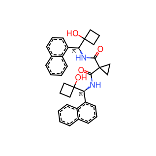 O=C(N[C@@H](c1cccc2ccccc12)C1(O)CCC1)C1(C(=O)N[C@@H](c2cccc3ccccc23)C2(O)CCC2)CC1